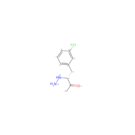 CC(=O)[C@@H](Cc1cccc(Cl)c1)NN